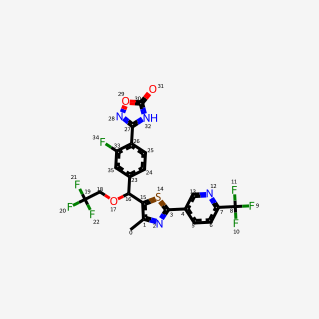 Cc1nc(-c2ccc(C(F)(F)F)nc2)sc1C(OCC(F)(F)F)c1ccc(-c2noc(=O)[nH]2)c(F)c1